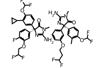 CN1C(=O)[C@](c2ccc(F)c(OCC(F)F)c2)(c2ccc(OC(F)F)c(C3CC3)c2)N=C1N.Cc1cc([C@]2(c3cccc(OCCC(F)F)c3)N=C(N)N(C)C2=O)ccc1OC(F)F